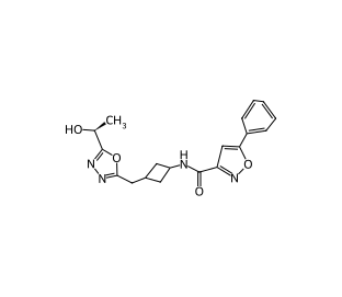 C[C@H](O)c1nnc(CC2CC(NC(=O)c3cc(-c4ccccc4)on3)C2)o1